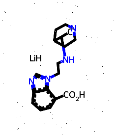 O=C(O)c1cccc2ncn(CCNC3CN4CCC3CC4)c12.[LiH]